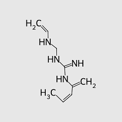 C=CNCNC(=N)NC(=C)/C=C\C